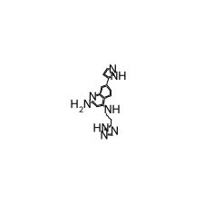 Nc1cc(NCCc2ncn[nH]2)c2ccc(-c3ccn[nH]3)cc2n1